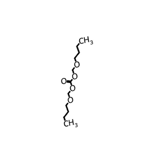 CCCCOCOC(=O)OCOCCCC